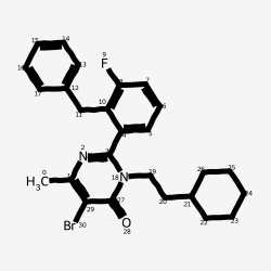 Cc1nc(-c2cccc(F)c2Cc2ccccc2)n(CCC2CCCCC2)c(=O)c1Br